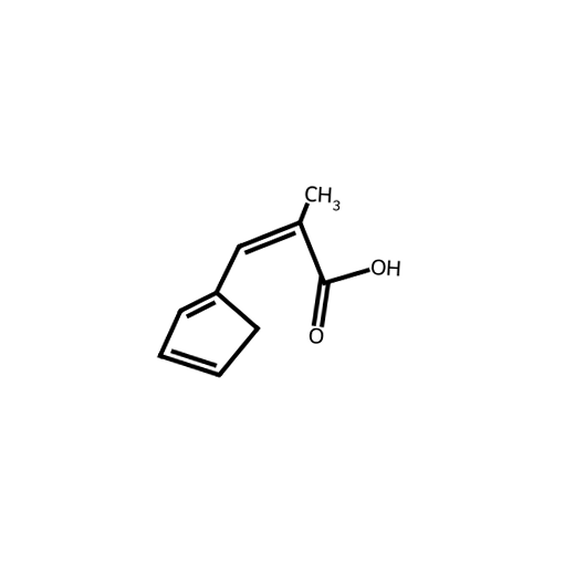 CC(=CC1=CC=CC1)C(=O)O